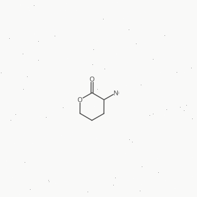 [N]C1CCCOC1=O